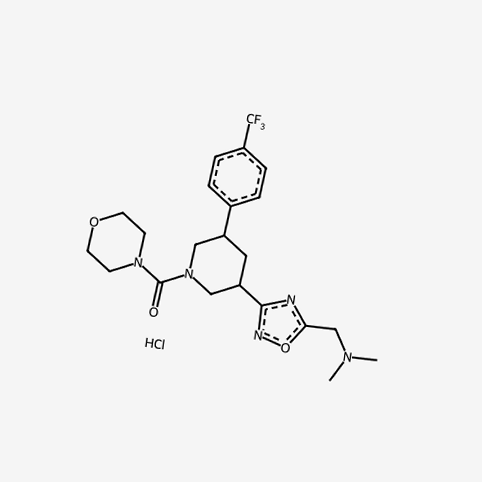 CN(C)Cc1nc(C2CC(c3ccc(C(F)(F)F)cc3)CN(C(=O)N3CCOCC3)C2)no1.Cl